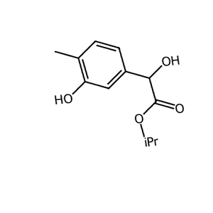 Cc1ccc(C(O)C(=O)OC(C)C)cc1O